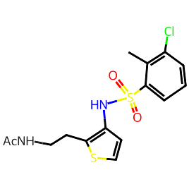 CC(=O)NCCc1sccc1NS(=O)(=O)c1cccc(Cl)c1C